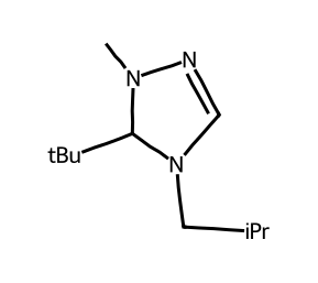 CC(C)CN1C=NN(C)C1C(C)(C)C